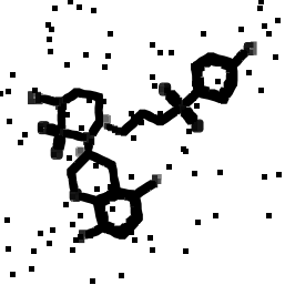 CCN1CC[C@H](CCCS(=O)(=O)c2ccc(Cl)cc2)N([C@@H]2COc3c(F)ccc(F)c3C2)S1(=O)=O